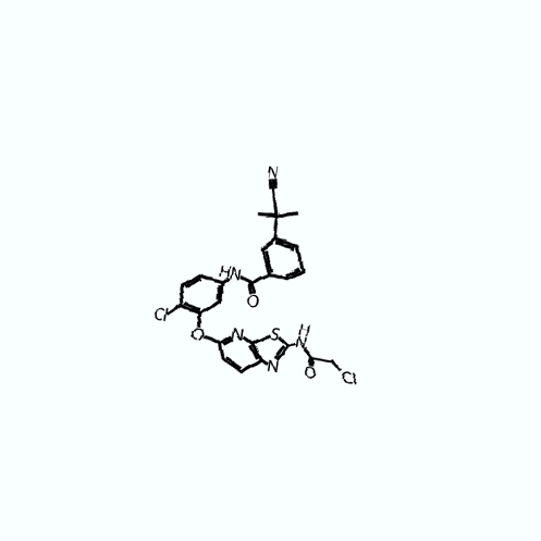 CC(C)(C#N)c1cccc(C(=O)Nc2ccc(Cl)c(Oc3ccc4nc(NC(=O)CCl)sc4n3)c2)c1